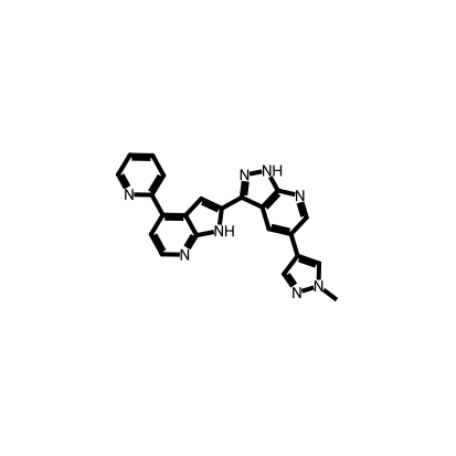 Cn1cc(-c2cnc3[nH]nc(-c4cc5c(-c6ccccn6)ccnc5[nH]4)c3c2)cn1